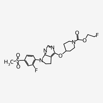 CS(=O)(=O)c1ccc(N2CCc3c(OC4CCN(C(=O)OCCF)CC4)ncnc32)c(F)c1